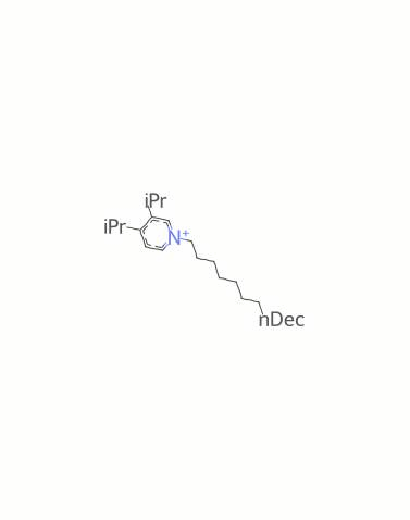 CCCCCCCCCCCCCCCCC[n+]1ccc(C(C)C)c(C(C)C)c1